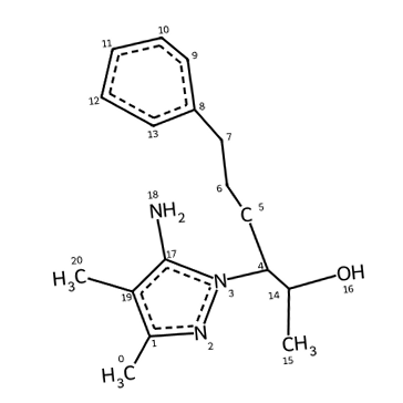 Cc1nn(C(CCCc2ccccc2)C(C)O)c(N)c1C